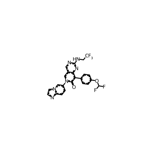 O=c1c(-c2ccc(OC(F)F)cc2)c2nc(NCC(F)(F)F)ncc2cn1-c1ccc2nccn2c1